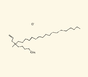 C=CC[N+](C)(CCCCO)CCCCCCCCCCCCCCCCCC.[Cl-]